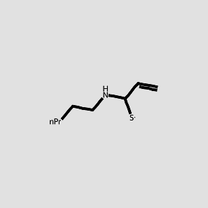 C=CC([S])NCCCCC